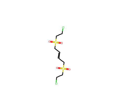 O=S(=O)(CC=CCS(=O)(=O)CCCl)CCCl